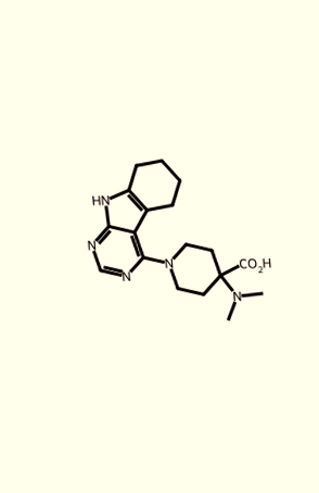 CN(C)C1(C(=O)O)CCN(c2ncnc3[nH]c4c(c23)CCCC4)CC1